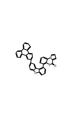 O=c1sc2c(-c3cccc4oc5ccc(-c6ccc7c8ccccc8c8ccccc8c7c6)cc5c34)cccc2n2cccc12